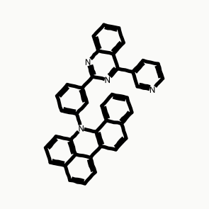 c1cncc(-c2nc(-c3cccc(N4c5c(ccc6ccccc56)-c5cccc6cccc4c56)c3)nc3ccccc23)c1